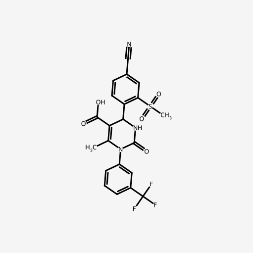 CC1=C(C(=O)O)C(c2ccc(C#N)cc2S(C)(=O)=O)NC(=O)N1c1cccc(C(F)(F)F)c1